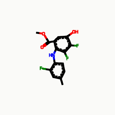 COC(=O)c1cc(O)c(F)c(F)c1Nc1ccc(C)cc1F